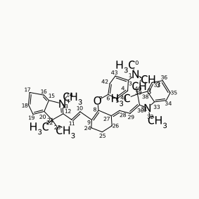 CN(C)c1ccc(OC2=C(/C=C/C3=[N+](C)c4ccccc4C3(C)C)CCC/C2=C\C=C2\N(C)c3ccccc3C2(C)C)cc1